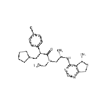 CCN(C[C@H](C)Nc1ncnc2c1[C@H](C)SC2)C(=O)C(CN1CCCC1)c1ccc(Cl)cc1